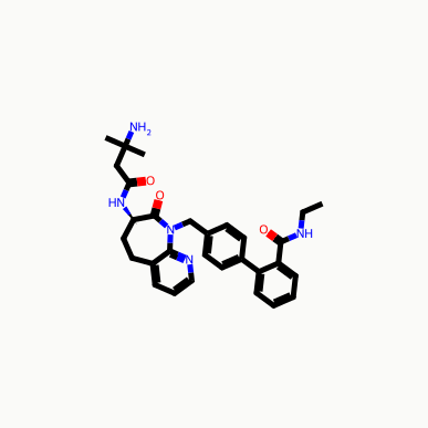 CCNC(=O)c1ccccc1-c1ccc(CN2C(=O)[C@H](NC(=O)CC(C)(C)N)CCc3cccnc32)cc1